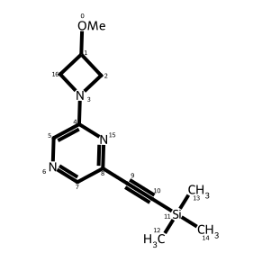 COC1CN(c2cncc(C#C[Si](C)(C)C)n2)C1